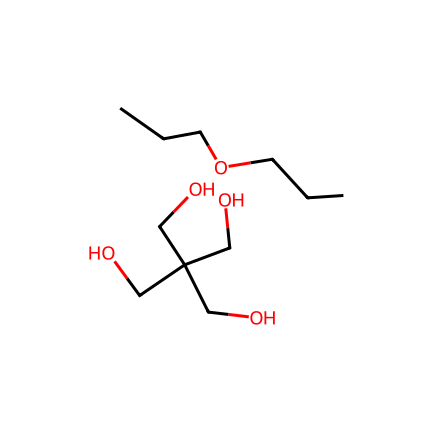 CCCOCCC.OCC(CO)(CO)CO